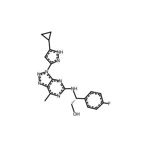 Cc1nc(N[C@@H](CO)c2ccc(F)cc2)nc2c1nnn2-c1cc(C2CC2)[nH]n1